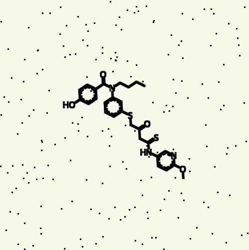 CCCCN(C(=O)c1ccc(O)cc1)c1cccc(SCC(=O)CC(=S)Nc2ccc(OC)nc2)c1